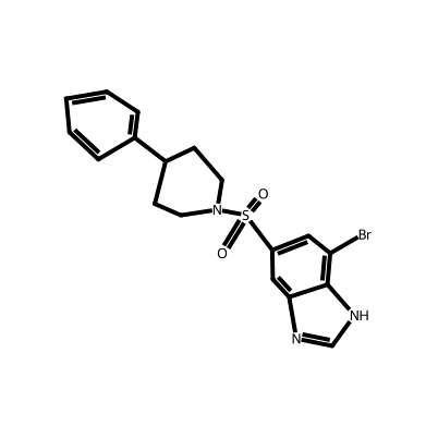 O=S(=O)(c1cc(Br)c2[nH]cnc2c1)N1CCC(c2ccccc2)CC1